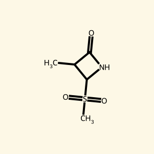 CC1C(=O)NC1S(C)(=O)=O